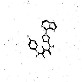 C=C(NC1CCN(c2nccn3ccnc23)C1)/C(C)=C(\C)N(C)c1ccc(F)cc1